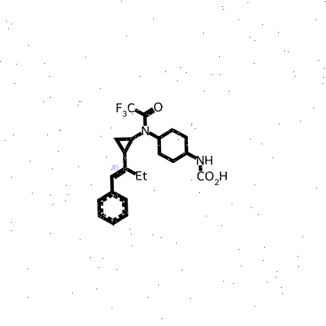 CC/C(=C\c1ccccc1)C1CC1N(C(=O)C(F)(F)F)C1CCC(NC(=O)O)CC1